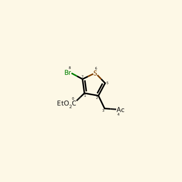 CCOC(=O)c1c(CC(C)=O)csc1Br